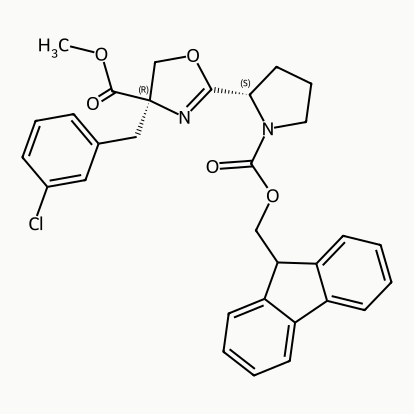 COC(=O)[C@@]1(Cc2cccc(Cl)c2)COC([C@@H]2CCCN2C(=O)OCC2c3ccccc3-c3ccccc32)=N1